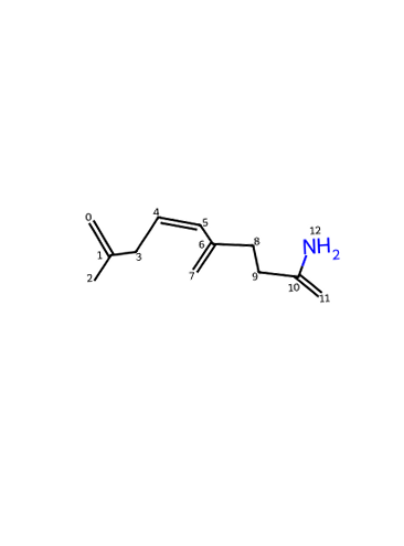 C=C(C)C/C=C\C(=C)CCC(=C)N